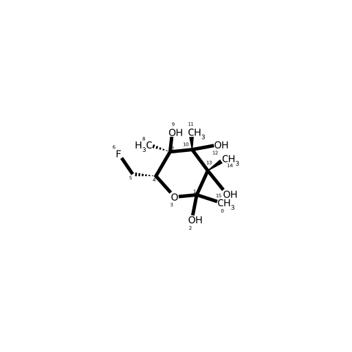 CC1(O)O[C@H](CF)[C@@](C)(O)[C@](C)(O)[C@]1(C)O